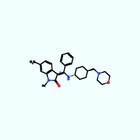 CC(=O)N1C(=O)/C(=C(\N[C@H]2CC[C@H](CN3CCOCC3)CC2)c2ccccc2)c2ccc([N+](=O)[O-])cc21